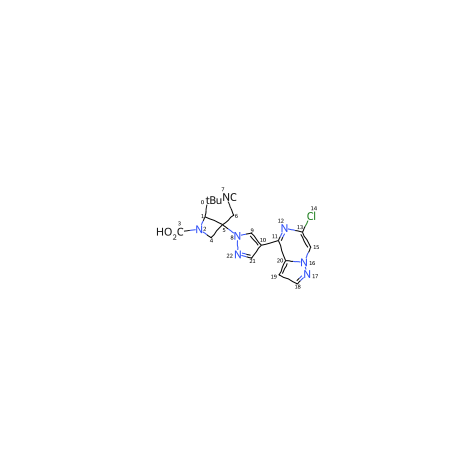 CC(C)(C)C1N(C(=O)O)CC1(CC#N)n1cc(-c2nc(Cl)cn3nccc23)cn1